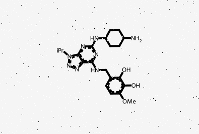 COc1ccc(CNc2nc(NC3CCC(N)CC3)nc3c2nnn3C(C)C)c(O)c1O